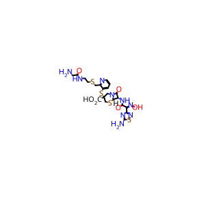 NCC(=O)NCCSCc1ncccc1SC1(C(=O)O)CS[C@@H]2[C@H](NC(=O)C(=NO)c3nsc(N)n3)C(=O)N2C1